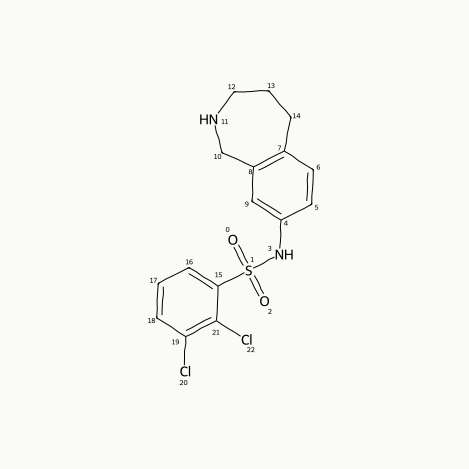 O=S(=O)(Nc1ccc2c(c1)CNCCC2)c1cccc(Cl)c1Cl